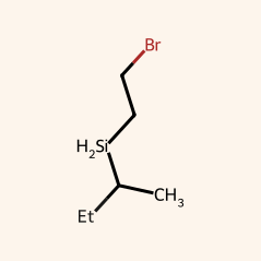 CCC(C)[SiH2]CCBr